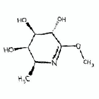 COC1=N[C@@H](C)[C@@H](O)[C@@H](O)[C@@H]1O